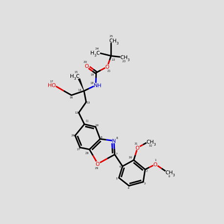 COc1cccc(-c2nc3cc(CC[C@](C)(CO)NC(=O)OC(C)(C)C)ccc3o2)c1OC